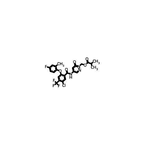 Cc1cc(F)ccc1Oc1cc(C(F)(F)F)c(Cl)cc1C(=O)Nc1cnn(COC(=O)C(C)C)c(=O)c1